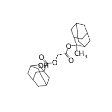 CC1(OC(=O)COC(=O)C23CC4CC(C2)C(O)C(C4)C3)C2CC3CC(C2)CC1C3